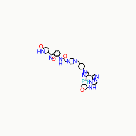 O=C1CCC(c2noc3c(NC(=O)CN4CCN(CC5CCC(n6cc(-c7cnn8ccc(NC9C=CCOC9)nc78)c(C(F)F)n6)CC5)CC4)cccc23)CN1